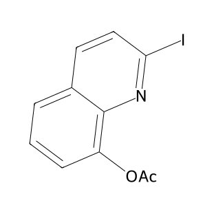 CC(=O)Oc1cccc2ccc(I)nc12